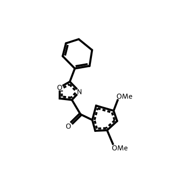 COc1cc(OC)cc(C(=O)c2coc(C3=CCCC=C3)n2)c1